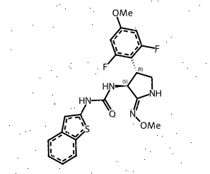 CON=C1NC[C@@H](c2c(F)cc(OC)cc2F)[C@@H]1NC(=O)Nc1cc2ccccc2s1